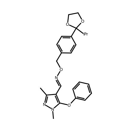 Cc1nn(C)c(Oc2ccccc2)c1C=NOCc1ccc(C2(C(C)C)OCCO2)cc1